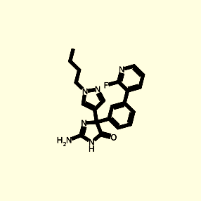 CCCCn1cc(C2(c3cccc(-c4cccnc4F)c3)N=C(N)NC2=O)cn1